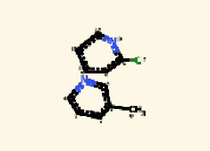 Cc1cccnc1.Clc1ccccn1